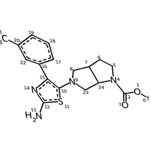 CC(C)(C)OC(=O)N1CCC2CN(c3sc(N)nc3-c3cccc(C(F)(F)F)c3)CC21